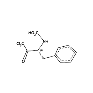 O=C(O)N[C@H](Cc1ccccc1)C(=O)C(Cl)(Cl)Cl